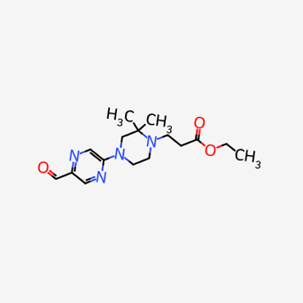 CCOC(=O)CCN1CCN(c2cnc(C=O)cn2)CC1(C)C